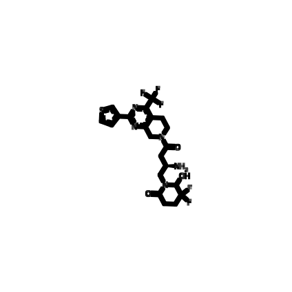 N[C@H](CC(=O)N1CCc2c(nc(-c3ccsc3)nc2C(F)(F)F)C1)CN1C(=O)CCC(F)(F)C1O